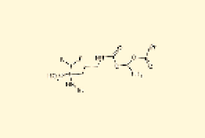 CCNC(CCCNC(=O)OC(C)OC(=O)C(C)C)(C(=O)O)C(F)F